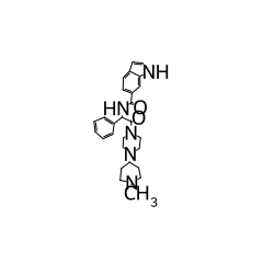 CN1CCC(N2CCN(C(=O)[C@H](NC(=O)c3ccc4cc[nH]c4c3)c3ccccc3)CC2)CC1